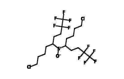 [O-][S+](C(CCCCCl)CCC(F)(F)C(F)(F)F)C(CCCCCl)CCC(F)(F)C(F)(F)F